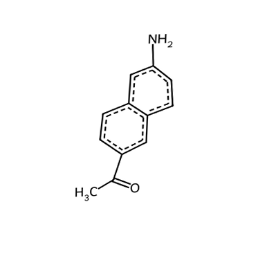 CC(=O)c1ccc2cc(N)ccc2c1